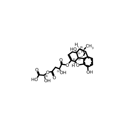 CN1CC[C@]23c4c5ccc(O)c4O[C@H]2C(OC(=O)[C@@H](O)CC(=O)O[C@@H](O)C(=O)O)=CC[C@@]3(O)[C@H]1C5